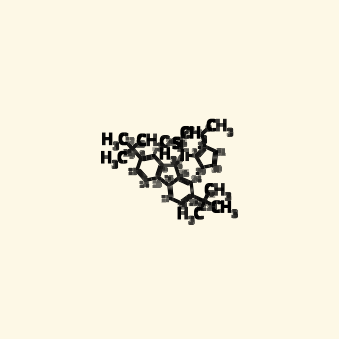 CCC1=[C]([Ti]([CH]2c3cc(C(C)(C)C)ccc3-c3ccc(C(C)(C)C)cc32)=[Si](C)C)CC=C1